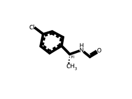 C[C@@H](NC=O)c1ccc(Cl)cc1